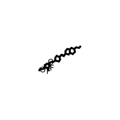 CCCC1CCC2CC(/C=C/C3CCC(COc4ccc(OCC)c(F)c4F)CC3)CCC2C1